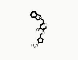 N[C@@H]1CCC(COc2coc(CN3Cc4ccccc4C3)cc2=O)C1